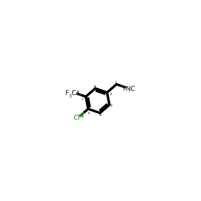 [C-]#[N+]Cc1ccc(Cl)c(C(F)(F)F)c1